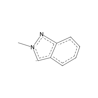 Cn1[c]c2ccccc2n1